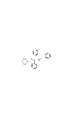 C=C(C)/C=C(\C=C/C)N(C(=O)COc1ccccc1)C1C(=O)N(C2CCCCC2)c2ccccc21